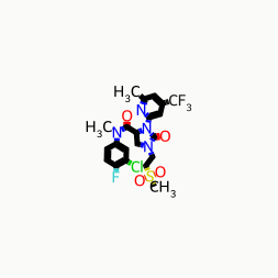 Cc1cc(C(F)(F)F)cc(N2C(=O)N(CCS(C)(=O)=O)CC2C(=O)N(C)c2ccc(F)c(Cl)c2)n1